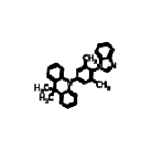 Cc1cc(N2c3ccccc3C(C)(C)c3ccccc32)cc(C)c1-n1cnc2ccccc21